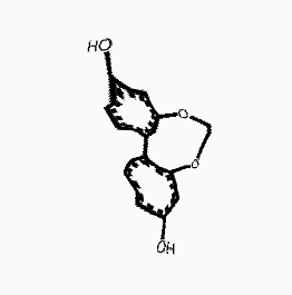 Oc1ccc2c(c1)OCOc1cc(O)ccc1-2